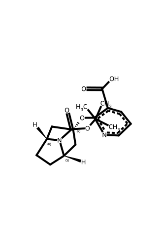 CC(C)(C)OC(=O)N1[C@@H]2CC[C@H]1C[C@@H](Oc1ncccc1C(=O)O)C2